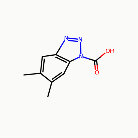 Cc1cc2nnn(C(=O)O)c2cc1C